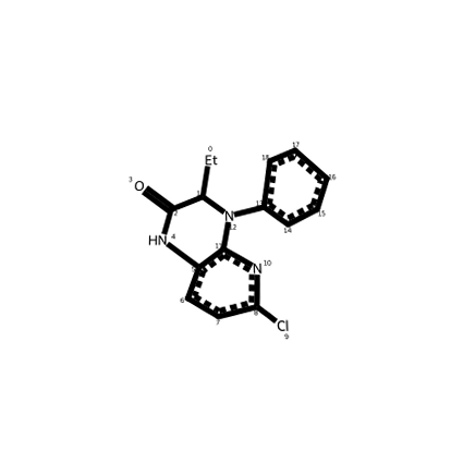 CCC1C(=O)Nc2ccc(Cl)nc2N1c1ccccc1